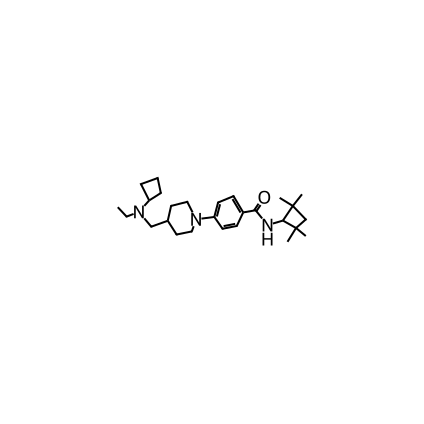 CCN(CC1CCN(c2ccc(C(=O)NC3C(C)(C)CC3(C)C)cc2)CC1)C1CCC1